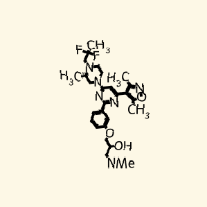 CNCC(O)COc1cccc(-c2nc(-c3c(C)noc3C)cc(N3CCN(CC(C)(F)F)[C@H](C)C3)n2)c1